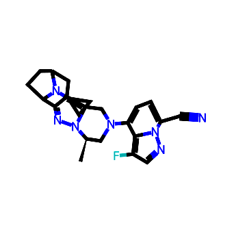 C[C@@H]1CN(c2ccc(C#N)n3ncc(F)c23)Cc2c3c(nn21)C1CCC(C3)N1C1CC1